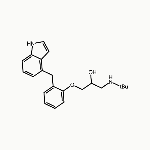 CC(C)(C)NCC(O)COc1ccccc1Cc1cccc2[nH]ccc12